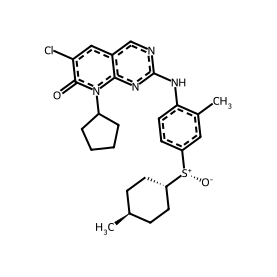 Cc1cc([S@+]([O-])[C@H]2CC[C@H](C)CC2)ccc1Nc1ncc2cc(Cl)c(=O)n(C3CCCC3)c2n1